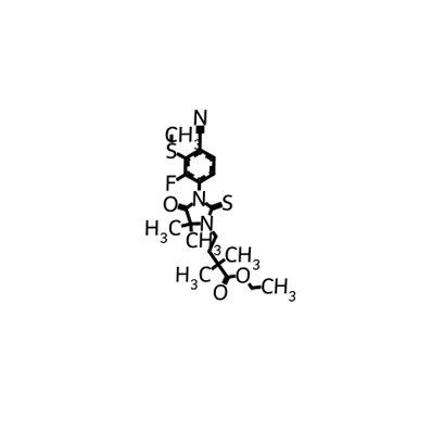 CCOC(=O)C(C)(C)CCN1C(=S)N(c2ccc(C#N)c(SC)c2F)C(=O)C1(C)C